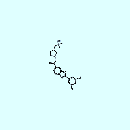 CC(C)(C)[Si](C)(C)OC1CC[C@@H](OC(=O)c2ccc3nc(-c4cc(Cl)cc(Cl)c4)oc3c2)C1